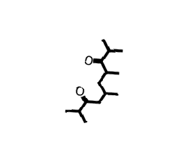 CC(CC(=O)C(C)C)CC(C)C(=O)C(C)C